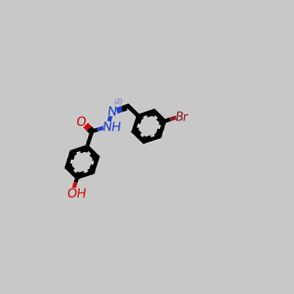 O=C(N/N=C\c1cccc(Br)c1)c1ccc(O)cc1